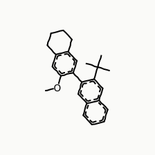 COc1cc2c(cc1-c1cc3ccccc3cc1C(C)(C)C)CCCC2